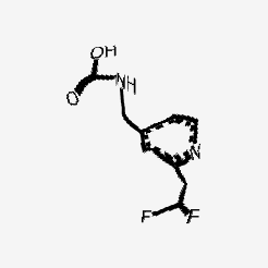 O=C(O)NCc1ccnc(C(F)F)c1